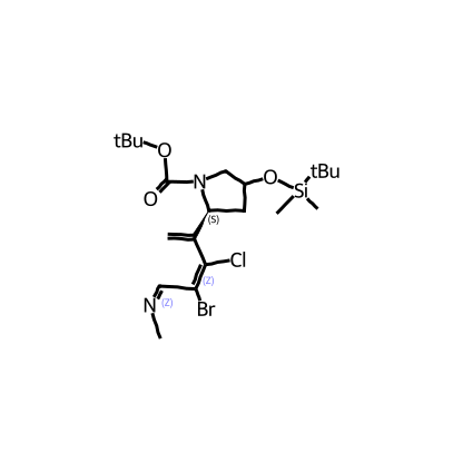 C=C(/C(Cl)=C(Br)\C=N/C)[C@@H]1CC(O[Si](C)(C)C(C)(C)C)CN1C(=O)OC(C)(C)C